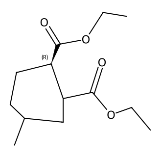 CCOC(=O)C1CC(C)CC[C@H]1C(=O)OCC